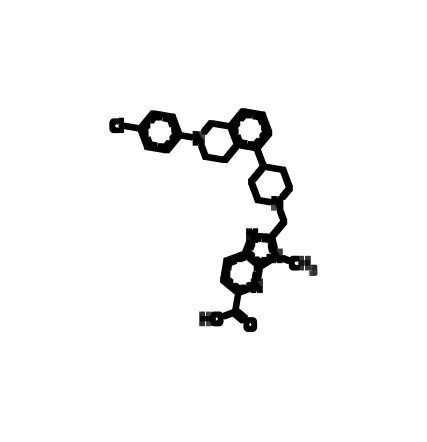 Cn1c(CN2CCC(c3cccc4c3CCN(c3ccc(Cl)cc3)C4)CC2)nc2ccc(C(=O)O)nc21